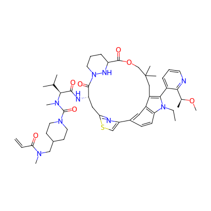 C=CC(=O)N(C)CC1CCN(C(=O)N(C)[C@H](C(=O)N[C@H]2Cc3nc(cs3)-c3ccc4c(c3)c(c(-c3cccnc3[C@H](C)OC)n4CC)CC(C)(C)COC(=O)C3CCCN(N3)C2=O)C(C)C)CC1